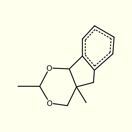 CC1OCC2(C)Cc3ccccc3C2O1